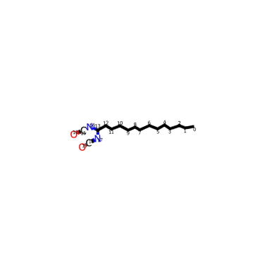 CCCCCCCCCCCCCC(N=C=O)N=C=O